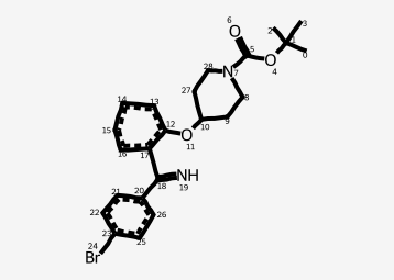 CC(C)(C)OC(=O)N1CCC(Oc2ccccc2C(=N)c2ccc(Br)cc2)CC1